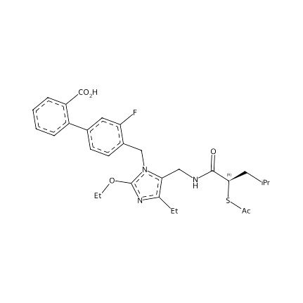 CCOc1nc(CC)c(CNC(=O)[C@@H](CC(C)C)SC(C)=O)n1Cc1ccc(-c2ccccc2C(=O)O)cc1F